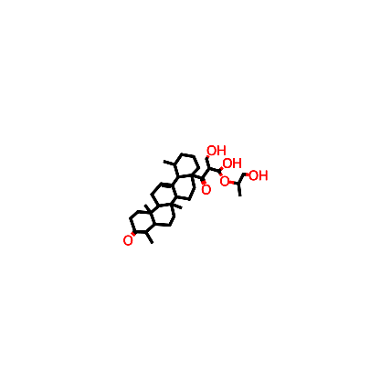 CC(CO)OC(O)C(CO)C(=O)C12CCCC(C)C1C1=CCC3C(C)(CCC4C(C)C(=O)CCC43C)C1CC2